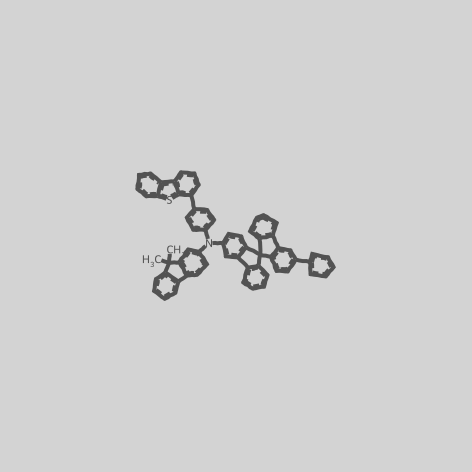 CC1(C)c2ccccc2-c2ccc(N(c3ccc(-c4cccc5c4sc4ccccc45)cc3)c3ccc4c(c3)-c3ccccc3C43c4ccccc4-c4cc(-c5ccccc5)ccc43)cc21